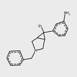 CCC1(c2cccc(N)c2)C2CN(Cc3ccccc3)CC21